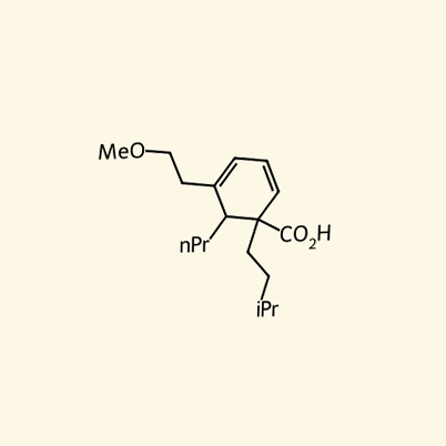 CCCC1C(CCOC)=CC=CC1(CCC(C)C)C(=O)O